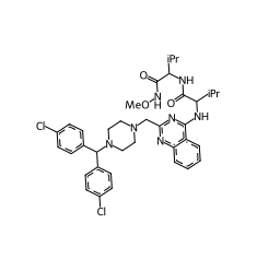 CONC(=O)C(NC(=O)C(Nc1nc(CN2CCN(C(c3ccc(Cl)cc3)c3ccc(Cl)cc3)CC2)nc2ccccc12)C(C)C)C(C)C